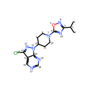 CC(C)c1noc(N2CCC(n3nc(Cl)c4cncnc43)CC2)n1